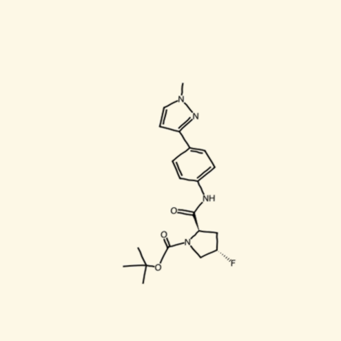 Cn1ccc(-c2ccc(NC(=O)[C@H]3C[C@H](F)CN3C(=O)OC(C)(C)C)cc2)n1